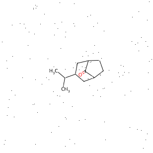 CC(C)C1CC2CCC(C1)C2=O